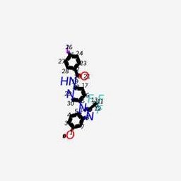 COc1ccc2c(c1)nc(C(F)(F)F)n2-c1ccc(NC(=O)c2ccc(I)cc2)nc1